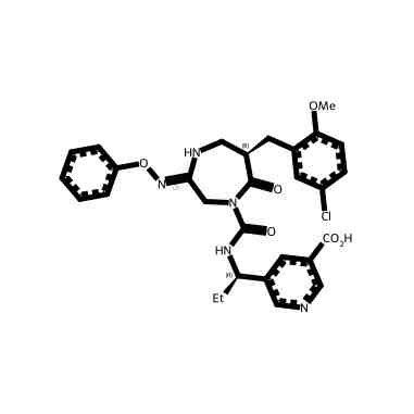 CC[C@@H](NC(=O)N1C/C(=N/Oc2ccccc2)NC[C@@H](Cc2cc(Cl)ccc2OC)C1=O)c1cncc(C(=O)O)c1